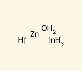 O.[Hf].[InH3].[Zn]